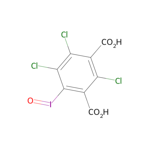 O=Ic1c(Cl)c(Cl)c(C(=O)O)c(Cl)c1C(=O)O